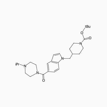 CC(C)N1CCN(C(=O)c2ccc3c(ccn3CC3CCN(C(=O)OC(C)(C)C)CC3)c2)CC1